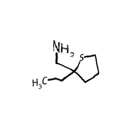 CCC1(CN)CCCS1